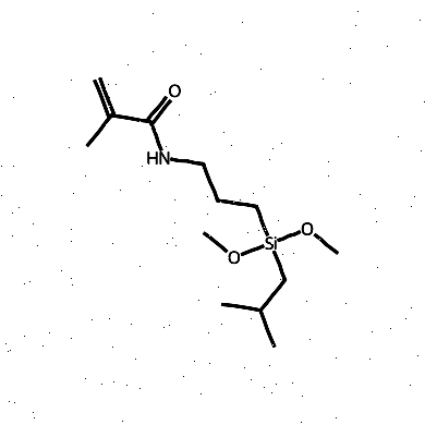 C=C(C)C(=O)NCCC[Si](CC(C)C)(OC)OC